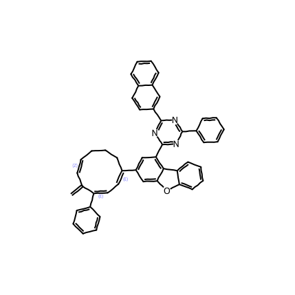 C=C1/C=C\CCC/C(c2cc(-c3nc(-c4ccccc4)nc(-c4ccc5ccccc5c4)n3)c3c(c2)oc2ccccc23)=C\C=C/1c1ccccc1